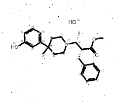 COC(=O)[C@H](Cc1ccccc1)[C@@H](C)N1CCC(C)(c2cccc(O)c2)CC1.Cl